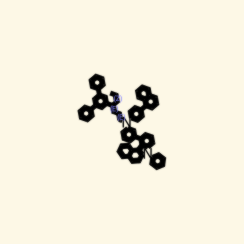 C\C=C/C(=C\C=C\N(c1ccc(-c2cccc3ccccc23)cc1)c1cccc(-c2cccc3c2c2c(n3-c3ccccc3)C=CC3C=CC=CC23)c1)c1cc(-c2ccccc2)cc(-c2ccccc2)c1